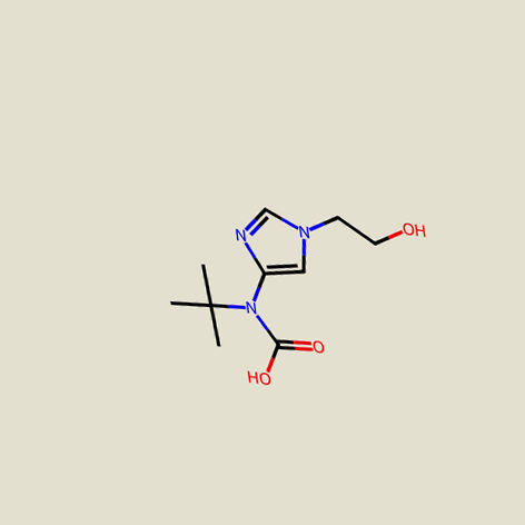 CC(C)(C)N(C(=O)O)c1cn(CCO)cn1